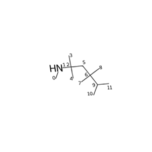 CNC(C)(C)CC(C)(C)C(C)C